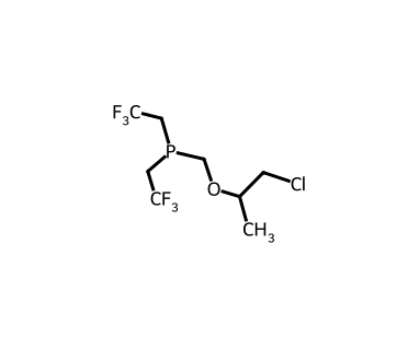 CC(CCl)OCP(CC(F)(F)F)CC(F)(F)F